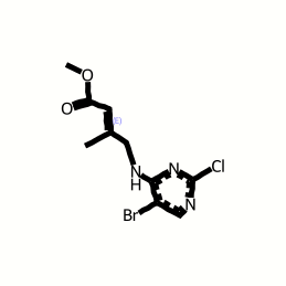 COC(=O)/C=C(\C)CNc1nc(Cl)ncc1Br